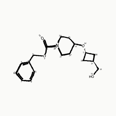 O=C(OCc1ccccc1)N1CCC(O[C@H]2C[C@H](CO)C2)CC1